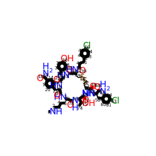 CNCCCC[C@@H]1NC(=O)[C@@H](Cc2ccc(C(N)=O)cc2)NC(=O)[C@H](Cc2ccc(O)cc2)NC(=O)[C@H](NC(=O)CCc2ccc(Cl)cc2)CSSC[C@@H](C(=O)N[C@H](Cc2ccc(Cl)cc2)C(N)=O)NC(=O)C(C(C)O)NC1=O